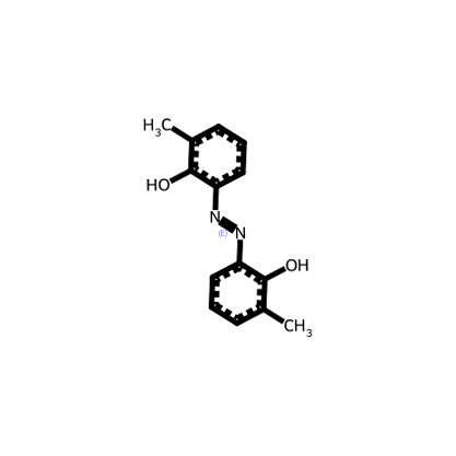 Cc1cccc(/N=N/c2cccc(C)c2O)c1O